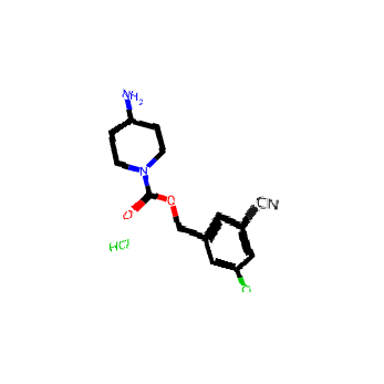 Cl.N#Cc1cc(Cl)cc(COC(=O)N2CCC(N)CC2)c1